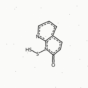 O=c1ccc2cccnc2n1SS